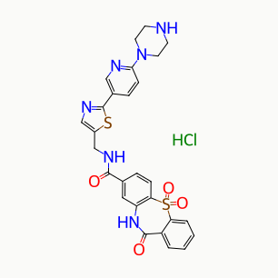 Cl.O=C(NCc1cnc(-c2ccc(N3CCNCC3)nc2)s1)c1ccc2c(c1)NC(=O)c1ccccc1S2(=O)=O